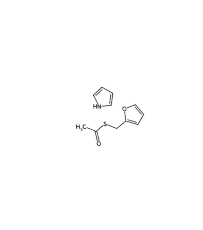 CC(=O)SCc1ccco1.c1cc[nH]c1